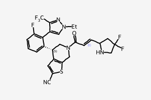 CCn1cc(-c2c(F)cccc2[C@@H]2CN(C(=O)/C=C/C3CC(F)(F)CN3)Cc3sc(C#N)cc32)c(C(F)(F)F)n1